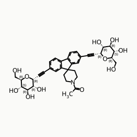 CC(=O)N1CCC2(CC1)c1cc(C#C[C@H]3O[C@H](CO)[C@@H](O)[C@H](O)[C@H]3O)ccc1-c1ccc(C#C[C@H]3O[C@H](CO)[C@@H](O)[C@H](O)[C@H]3O)cc12